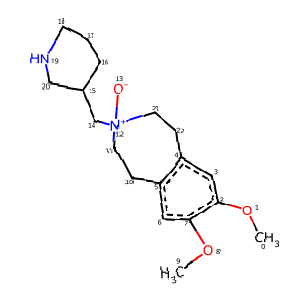 COc1cc2c(cc1OC)CC[N+]([O-])(CC1CCCNC1)CC2